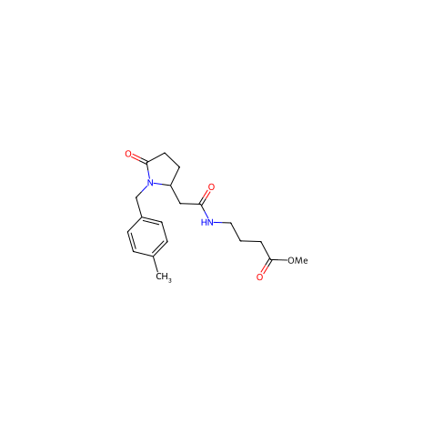 COC(=O)CCCNC(=O)CC1CCC(=O)N1Cc1ccc(C)cc1